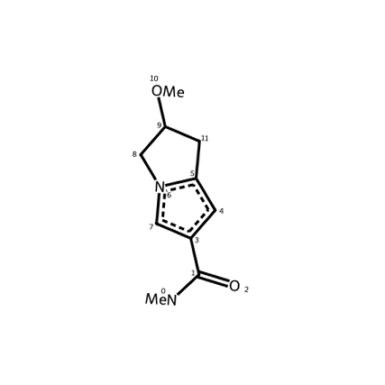 CNC(=O)c1cc2n(c1)CC(OC)C2